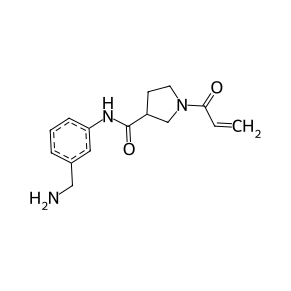 C=CC(=O)N1CCC(C(=O)Nc2cccc(CN)c2)C1